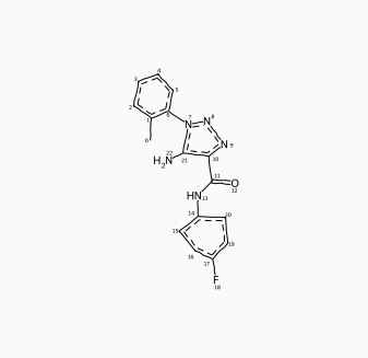 Cc1ccccc1-n1nnc(C(=O)Nc2ccc(F)cc2)c1N